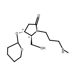 CBCCCN1C(=O)C[C@@H](OC2CCCCO2)[C@@H]1CO